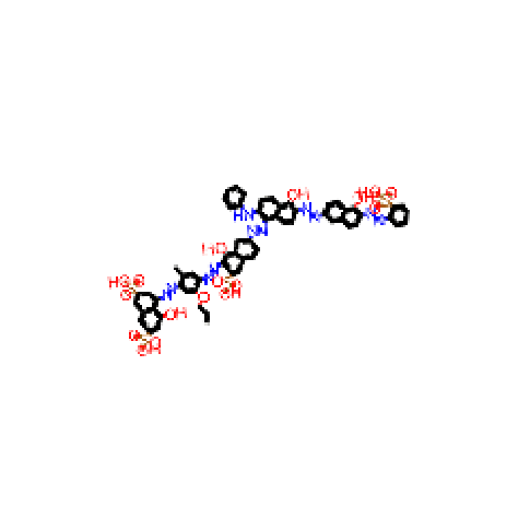 CCCOc1cc(N=Nc2cc(S(=O)(=O)O)cc3cc(S(=O)(=O)O)cc(O)c23)c(C)cc1N=Nc1c(S(=O)(=O)O)cc2ccc(N=Nc3c(Nc4ccccc4)ccc4c(O)c(N=Nc5ccc6c(O)c(N=Nc7ccccc7S(=O)(=O)O)ccc6c5)ccc34)cc2c1O